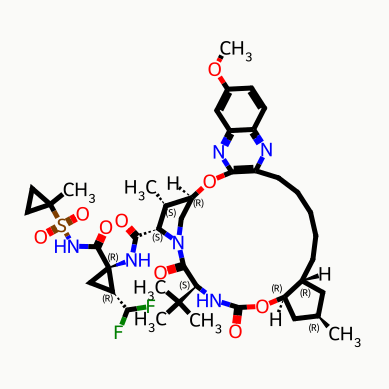 COc1ccc2nc3c(nc2c1)O[C@H]1CN(C(=O)[C@H](C(C)(C)C)NC(=O)O[C@@H]2C[C@H](C)C[C@H]2CCCCC3)[C@H](C(=O)N[C@]2(C(=O)NS(=O)(=O)C3(C)CC3)C[C@H]2C(F)F)[C@@H]1C